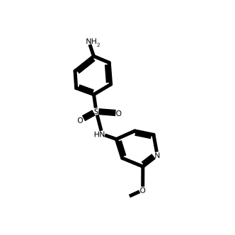 COc1cc(NS(=O)(=O)c2ccc(N)cc2)ccn1